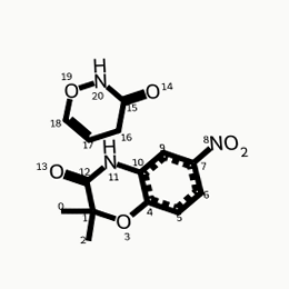 CC1(C)Oc2ccc([N+](=O)[O-])cc2NC1=O.O=C1CC=CON1